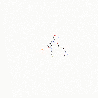 CC[C@H](C)CC(=O)N(C)[C@H](C[C@@H](O)c1nc(C(=O)N[C@@H](Cc2ccc(OCO[PH](O)(O)O)c(NC(=O)CCCS)c2)CC(C)C(=O)ON)cs1)C(C)C